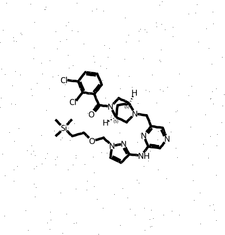 C[Si](C)(C)CCOCn1ccc(Nc2cncc(CN3C[C@@H]4C[C@H]3CN4C(=O)c3cccc(Cl)c3Cl)n2)n1